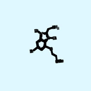 CCn1c(CN)[n+](CC)c2cc(Br)cc(OCCOC)c21